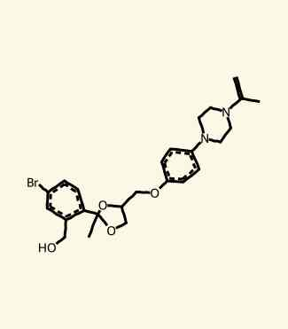 C=C(C)N1CCN(c2ccc(OCC3COC(C)(c4ccc(Br)cc4CO)O3)cc2)CC1